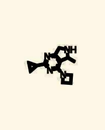 CC1NCc2nc(C3CC3)nc(N3CCC3)c21